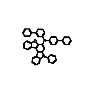 c1ccc(-c2ccc(N(c3cccc(-c4ccccc4)c3)c3cc4c(c5ccccc5n4-c4ccccc4)c4c3oc3ccccc34)cc2)cc1